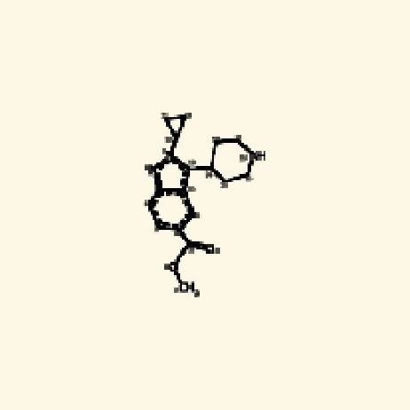 COC(=O)c1ccc2nn(C3CC3)c(C3CCNCC3)c2c1